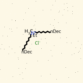 CCCCCCCCCCCCCCCCCCC[N+](C)(CC)CCCCCCCCCCCCCCCCCC.[Cl-]